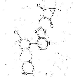 Cc1cc(Cl)cc(-c2ccnc3cc(CN4C(=O)C5C(C4=O)C5(C)C)sc23)c1CN1CCNCC1